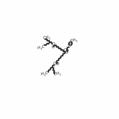 CCCCCC(CCCCC)CCOC(=O)CCCCCCCCC1(CCCCCCCCC(=O)OCCC(CCCCC)CCCCC)OCC(CCN2CCN(C)CC2)O1